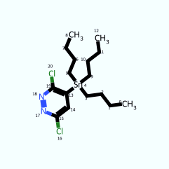 CCC[CH2][Sn]([CH2]CCC)([CH2]CCC)[c]1cc(Cl)nnc1Cl